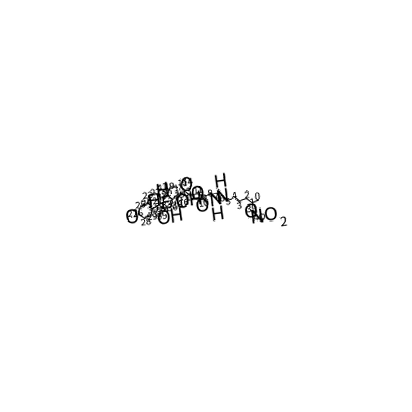 CC(CCCCNNCC(=O)OCC(=O)[C@@]1(O)[C@@H](C)C[C@H]2[C@@H]3CCC4=CC(=O)C=C[C@]4(C)[C@@]3(F)[C@@H](O)C[C@@]21C)O[N+](=O)[O-]